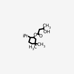 CC(O)CC(=O)OC1CC(C)(C)CCC1C(C)C